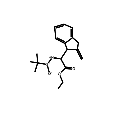 C=C1Cc2ccccc2C1[C@H](N[S+]([O-])C(C)(C)C)C(=O)OCC